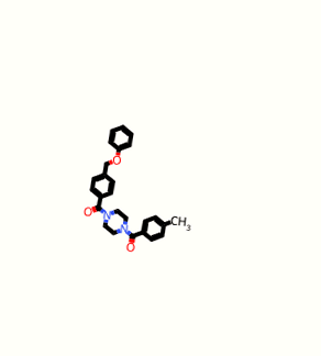 Cc1ccc(C(=O)N2CCN(C(=O)c3ccc(COc4ccccc4)cc3)CC2)cc1